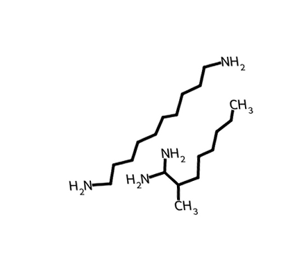 CCCCCCC(C)C(N)N.NCCCCCCCCCCN